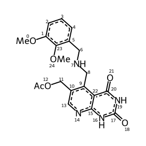 COc1cccc(CNCc2c(COC(C)=O)cnc3[nH]c(=O)[nH]c(=O)c23)c1OC